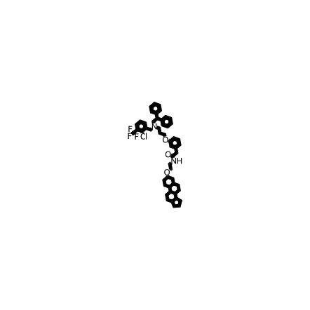 O=C(Cc1cccc(OCCCN(Cc2cccc(C(F)(F)F)c2Cl)CC(c2ccccc2)c2ccccc2)c1)NCCOC1CCC2C(CCC3C4CCCC4CCC23)C1